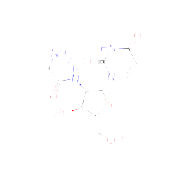 C[C@H](N)C(=O)N[C@@H]1[C@H](O)[C@@H](CO)O[C@H]1n1ccc(=O)[nH]c1=O